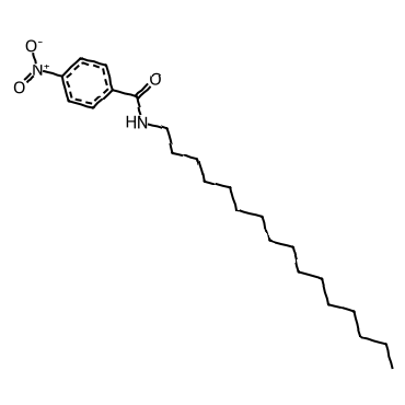 CCCCCCCCCCCCCCCCNC(=O)c1ccc([N+](=O)[O-])cc1